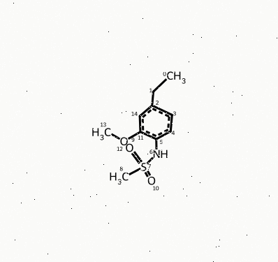 CCc1ccc(NS(C)(=O)=O)c(OC)c1